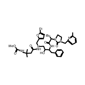 CCc1ccc(CN(CC(O)C(Cc2ccccc2)NC(=O)C(C(C)CC)N2CCN(Cc3cccc(C)n3)C2=O)NC(=O)CC(C)(C)CNC(=O)OC)o1